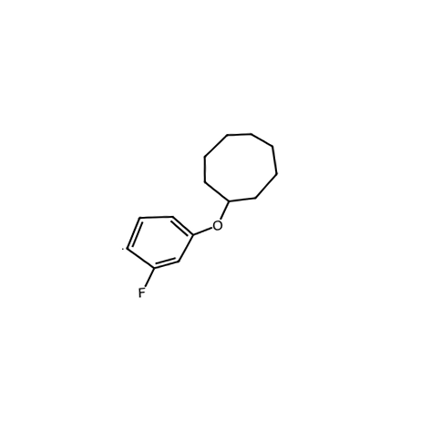 Fc1[c]ccc(OC2CCCCCCC2)c1